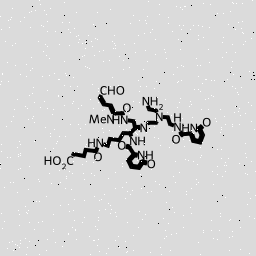 CN/C(=C\C=C/C=O)C(=O)NC/C(=N\CCN(CCN)CCNC(=O)c1cccc(=O)[nH]1)C(CCCCNC(=O)CCCC(=O)O)NC(=O)c1cccc(=O)[nH]1